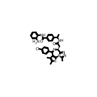 Cc1sc2c(c1C)C(c1ccc(Cl)cc1)=N[C@@H](CC(=O)NC(C)c1ccc(C(=O)Nc3ccccc3N)cc1)c1nnc(C)n1-2